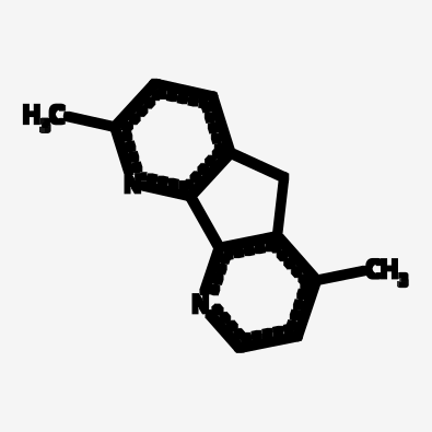 Cc1ccc2c(n1)-c1nccc(C)c1C2